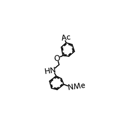 CNc1cccc(NCOc2cccc(C(C)=O)c2)c1